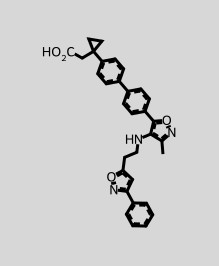 Cc1noc(-c2ccc(-c3ccc(C4(CC(=O)O)CC4)cc3)cc2)c1NCCc1cc(-c2ccccc2)no1